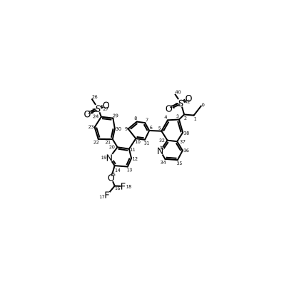 CCC(c1cc(-c2cccc(-c3ccc(OC(F)F)nc3-c3ccc(S(C)(=O)=O)cc3)c2)c2ncccc2c1)S(C)(=O)=O